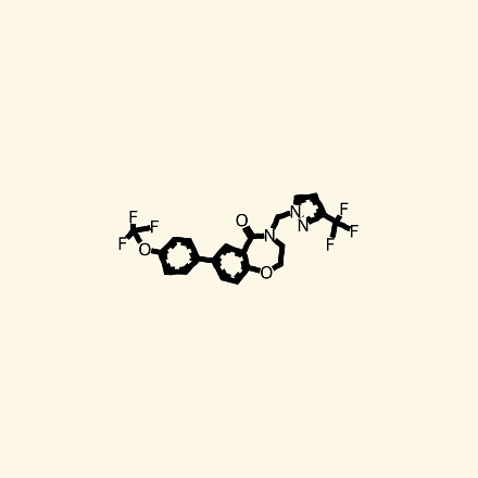 O=C1c2cc(-c3ccc(OC(F)(F)F)cc3)ccc2OCCN1Cn1ccc(C(F)(F)F)n1